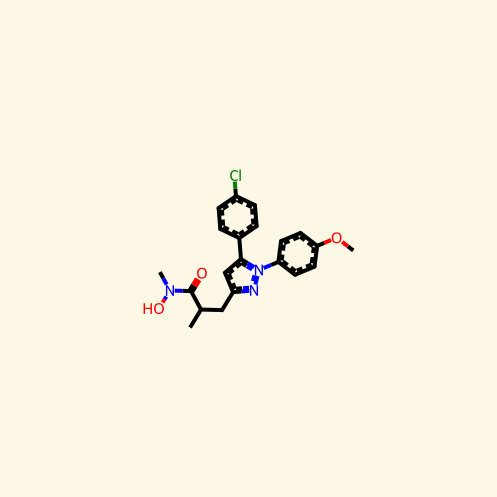 COc1ccc(-n2nc(CC(C)C(=O)N(C)O)cc2-c2ccc(Cl)cc2)cc1